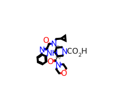 O=C(O)N1C[C@H](C(=O)N2CCOCC2)C[C@H](N(CC2CC2)C(=O)c2nc3ccccc3[nH]2)C1